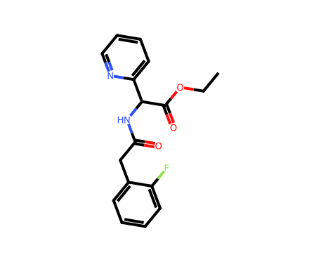 CCOC(=O)C(NC(=O)Cc1ccccc1F)c1ccccn1